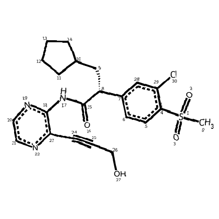 CS(=O)(=O)c1ccc([C@@H](CC2CCCC2)C(=O)Nc2nccnc2C#CCO)cc1Cl